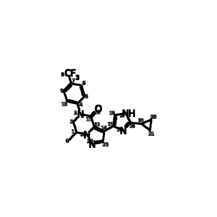 CC1CN(c2ccc(C(F)(F)F)cc2)C(=O)c2c(-c3c[nH]c(C4CC4)n3)cnn21